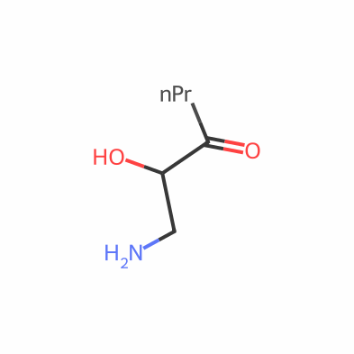 CCCC(=O)C(O)CN